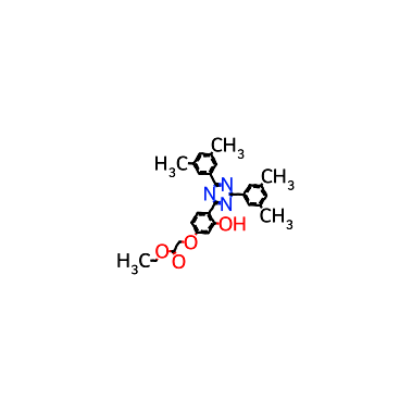 CCOC(=O)COc1ccc(-c2nc(-c3cc(C)cc(C)c3)nc(-c3cc(C)cc(C)c3)n2)c(O)c1